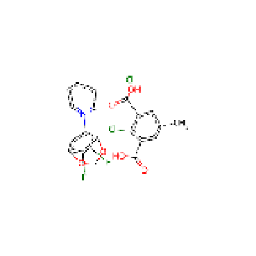 Cc1cc(C(=O)O)c(Cl)c(C(=O)O)c1.Fc1c2cc(-[n+]3ccccc3)c(c1F)OCO2.[Cl-]